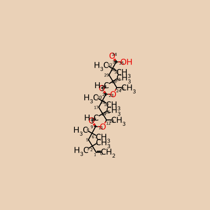 C=CC(C)(C)CC(C)(C)C(=O)OC(C)C(C)(C)CC(C)(C)C(=O)OC(C)C(C)(C)CC(C)(C)C(=O)O